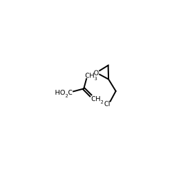 C=C(C)C(=O)O.ClCC1CO1